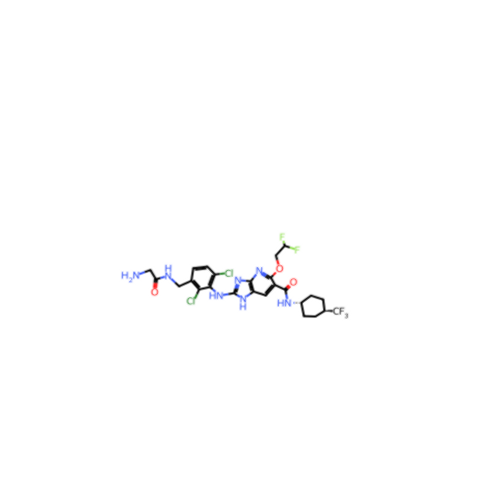 NCC(=O)NCc1ccc(Cl)c(Nc2nc3nc(OCC(F)F)c(C(=O)N[C@H]4CC[C@H](C(F)(F)F)CC4)cc3[nH]2)c1Cl